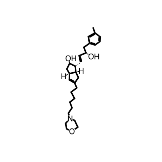 Cc1cccc(C[C@H](O)/C=C/[C@@H]2[C@H]3CC(CCCCCCN4CCOCC4)=C[C@H]3C[C@H]2O)c1